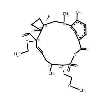 CCO[C@]1(C=O)/C=C/C[C@H](C)[C@@H](CCOC)S(=O)(=O)NC(=O)c2ccc(O)c(c2)N(C)C[C@@H]2CC[C@H]21